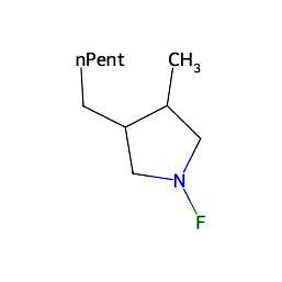 CCCCCCC1CN(F)CC1C